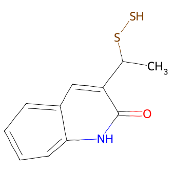 CC(SS)c1cc2ccccc2[nH]c1=O